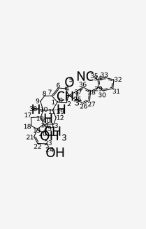 C[C@]12CC3(C(=O)C=C1CC[C@@H]1[C@@H]2CC[C@@]2(C)[C@H]1CC[C@@]2(O)/C=C\CO)c1ccc(-c2ccccc2C#N)cc13